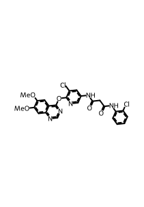 COc1cc2ncnc(Oc3ncc(NC(=O)CC(=O)Nc4ccccc4Cl)cc3Cl)c2cc1OC